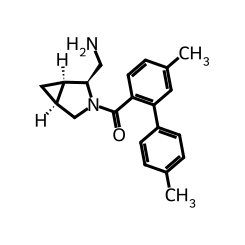 Cc1ccc(-c2cc(C)ccc2C(=O)N2C[C@H]3C[C@H]3[C@H]2CN)cc1